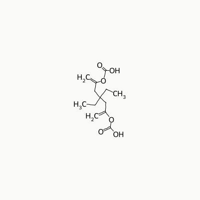 C=C(CC(CC)(CC)CC(=C)OC(=O)O)OC(=O)O